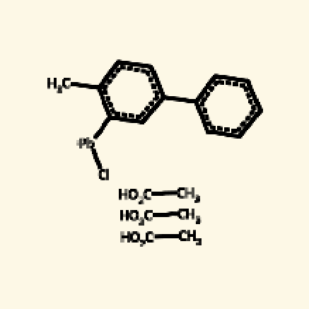 CC(=O)O.CC(=O)O.CC(=O)O.Cc1ccc(-c2ccccc2)c[c]1[Pb][Cl]